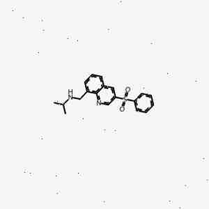 CC(C)NCc1cccc2cc(S(=O)(=O)c3ccccc3)cnc12